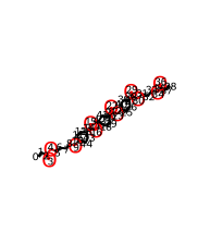 C=CC(=O)OCCCCOc1ccc(C(=O)Oc2ccc(C(=O)Oc3ccc(C(=O)OCCCOC(=O)C=C)cc3)cc2)cc1